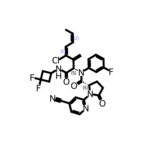 C=C(/C(Cl)=C\C=C/C)[C@@H](C(=O)NC1CC(F)(F)C1)N(C(=O)[C@@H]1CCC(=O)N1c1cc(C#N)ccn1)c1cccc(F)c1